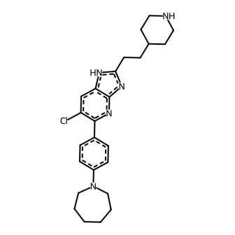 Clc1cc2[nH]c(CCC3CCNCC3)nc2nc1-c1ccc(N2CCCCCC2)cc1